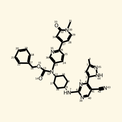 Cc1cc(-c2nc(N[C@H]3CC[C@H](N(C(=O)OCc4ccccc4)c4ccc(-c5ccn(C)c(=O)c5)nc4)CC3)ncc2C#N)[nH]n1